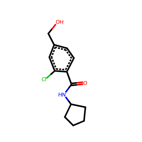 O=C(NC1CCCC1)c1ccc(CO)cc1Cl